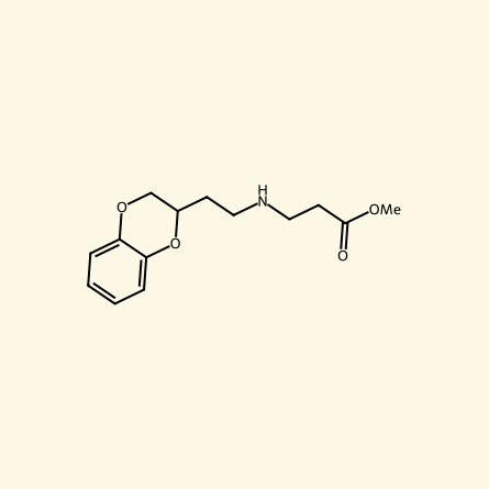 COC(=O)CCNCCC1COc2ccccc2O1